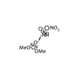 COc1cc(OC)nc(OCC#CCNS(=O)(=O)c2cc([N+](=O)[O-])ccc2Cl)n1